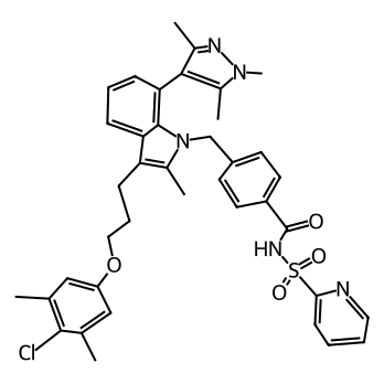 Cc1cc(OCCCc2c(C)n(Cc3ccc(C(=O)NS(=O)(=O)c4ccccn4)cc3)c3c(-c4c(C)nn(C)c4C)cccc23)cc(C)c1Cl